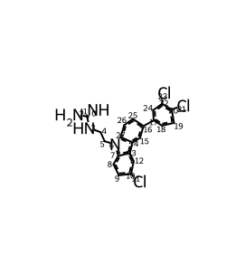 N=C(N)NCCn1c2ccc(Cl)cc2c2cc(-c3ccc(Cl)c(Cl)c3)ccc21